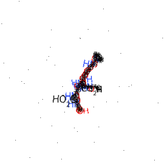 Cc1ccc(CCCC(=O)NCCCCC(NC(=O)C(CCC(=O)NCCCCCC(=O)N[C@@H](CCC(=O)NCCCCOP(C)(=O)O)C(=O)O)NC(=O)CCOCCOCCOCCOCCNC(=O)CCC(=O)N2Cc3ccccc3C#Cc3ccccc32)C(=O)O)cc1